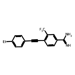 CCc1ccc(C#Cc2ccc(C(=N)N)cc2C(F)(F)F)cc1